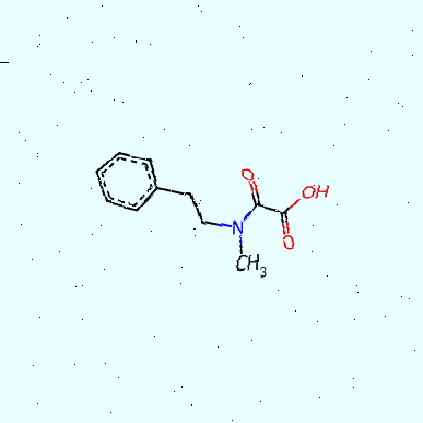 CN(CCc1ccccc1)C(=O)C(=O)O